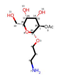 CC(=O)O[C@H]1[C@H](OCCCN)O[C@H](CO)[C@H](O)[C@@H]1O